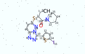 CCC(Sc1ccc2nnc(-c3ccc(I)s3)n2n1)C(=O)N1CCCCC1